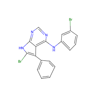 Brc1cccc(Nc2ncnc3[nH]c(Br)c(-c4ccccc4)c23)c1